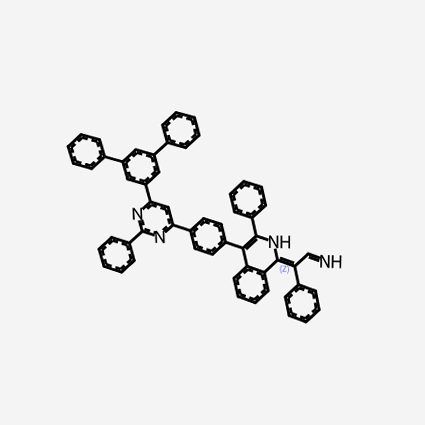 N=C/C(=C1\NC(c2ccccc2)=C(c2ccc(-c3cc(-c4cc(-c5ccccc5)cc(-c5ccccc5)c4)nc(-c4ccccc4)n3)cc2)c2ccccc21)c1ccccc1